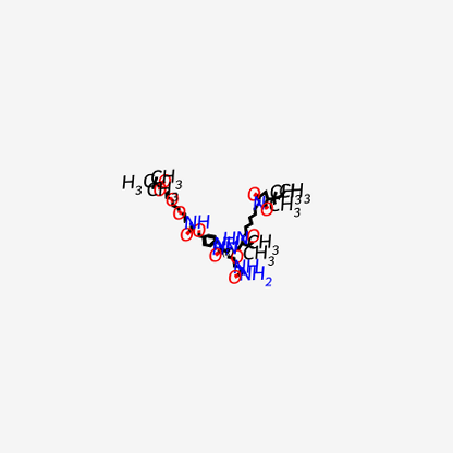 CCC(C)(C)C1CC(=O)N(CCCCCC(=O)NC(C(=O)N[C@H](CCCNC(N)=O)C(=O)Nc2ccc(COC(=O)NCCOCCOCCOC(=O)C(C)(C)C)cc2)C(C)C)C1=O